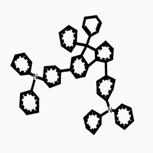 C1=CC(C2(c3ccccc3)c3cc(-c4ccc(N(c5ccccc5)c5ccccc5)cc4)ccc3-c3c(-c4ccc(N(c5ccccc5)c5ccccc5)cc4)cccc32)=CCC1